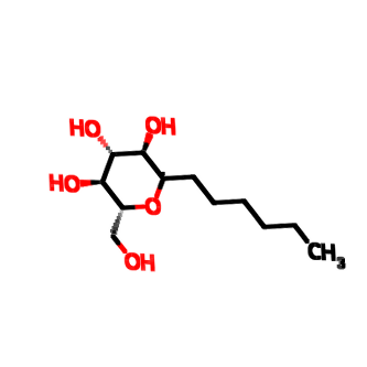 CCCCCC[C]1O[C@H](CO)[C@@H](O)[C@H](O)[C@H]1O